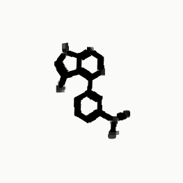 O=[N+]([O-])c1cccc(-c2ncnc3[nH]cc(Br)c23)c1